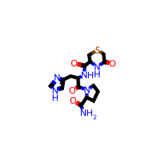 NC(=O)C1CCCN1C(=O)C(Cc1c[nH]cn1)NC(=O)C1CSCC(=O)N1